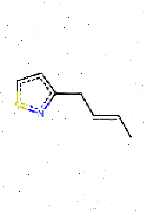 CC=CCc1ccsn1